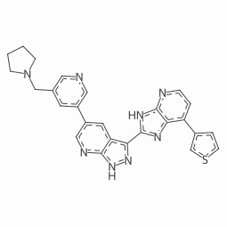 c1cc(-c2ccsc2)c2nc(-c3n[nH]c4ncc(-c5cncc(CN6CCCC6)c5)cc34)[nH]c2n1